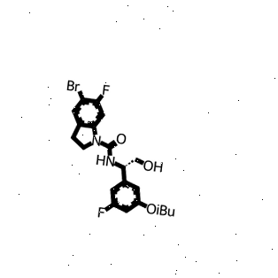 CC(C)COc1cc(F)cc([C@@H](CO)NC(=O)N2CCc3cc(Br)c(F)cc32)c1